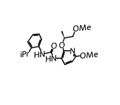 COC[C@H](C)Oc1nc(OC)ccc1NC(=O)Nc1ccccc1C(C)C